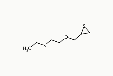 CCSCCOCC1CS1